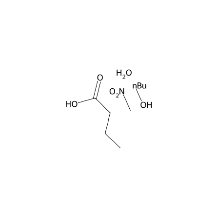 CCCC(=O)O.CCCCO.C[N+](=O)[O-].O